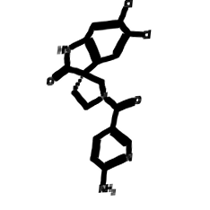 Nc1ccc(C(=O)N2CC[C@]3(C2)C(=O)Nc2cc(Cl)c(Cl)cc23)cn1